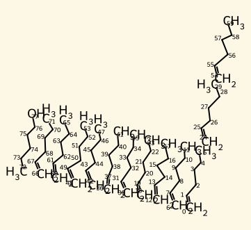 C=CCCCC.C=CCCCC.C=CCCCC.C=CCCCC.C=CCCCC.C=CCCCC.C=CCCCC.C=CCCCC.C=CCCCC.C=CCCCC.C=CCCCC.C=CCCCC.CCCCCO